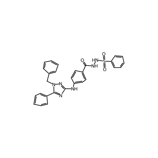 O=C(NNS(=O)(=O)c1ccccc1)c1ccc(Nc2nc(-c3ccccc3)n(Cc3ccccc3)n2)cc1